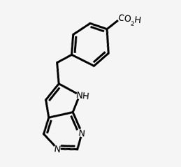 O=C(O)c1ccc(Cc2cc3cncnc3[nH]2)cc1